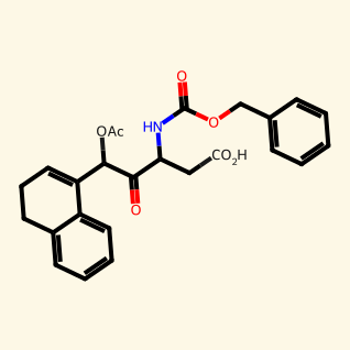 CC(=O)OC(C(=O)C(CC(=O)O)NC(=O)OCc1ccccc1)C1=CCCc2ccccc21